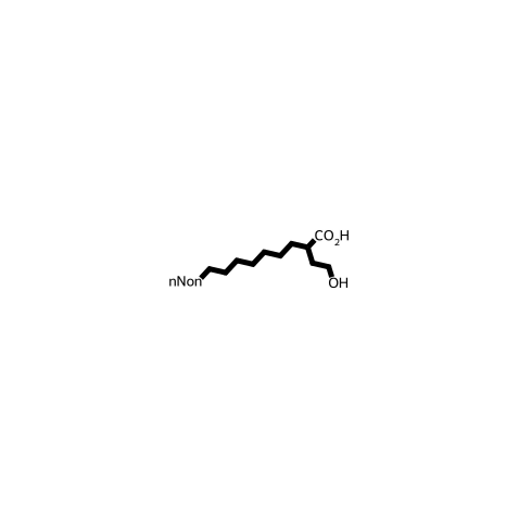 CCCCCCCCCCCCCCCCC(CCO)C(=O)O